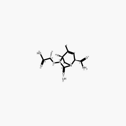 CC1=C[C@@H](C(N)=O)N2C[C@@H]1N(O[C@@H](F)C(=O)O)C2=O.[LiH]